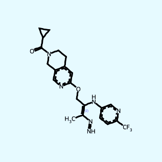 C/C(N=N)=C(\COc1cc2c(cn1)CN(C(=O)C1CC1)CC2)Nc1ccc(C(F)(F)F)nc1